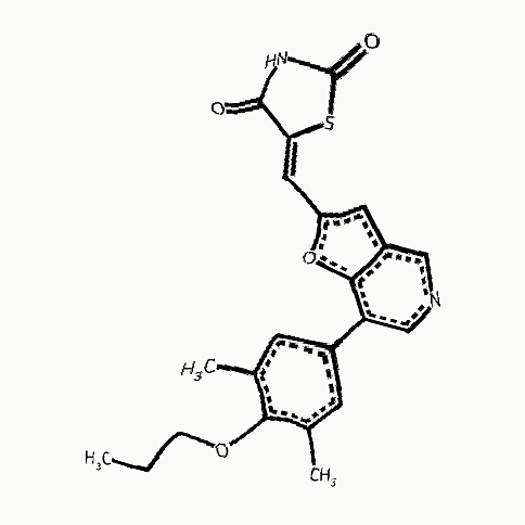 CCCOc1c(C)cc(-c2cncc3cc(/C=C4\SC(=O)NC4=O)oc23)cc1C